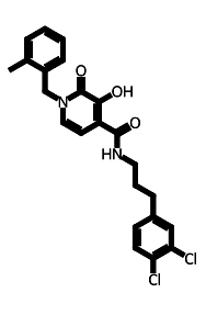 Cc1ccccc1Cn1ccc(C(=O)NCCCc2ccc(Cl)c(Cl)c2)c(O)c1=O